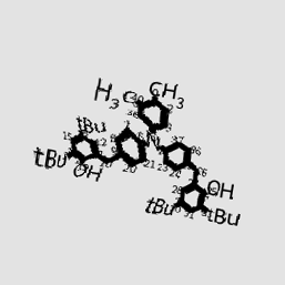 Cc1ccc(N(c2ccc(Cc3cc(C(C)(C)C)cc(C(C)(C)C)c3O)cc2)c2ccc(Cc3cc(C(C)(C)C)cc(C(C)(C)C)c3O)cc2)cc1C